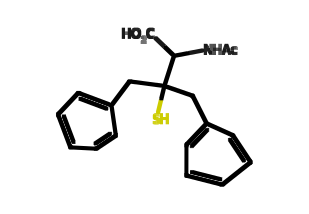 CC(=O)NC(C(=O)O)C(S)(Cc1ccccc1)Cc1ccccc1